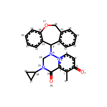 Cc1c2n(ccc1=O)N(C1c3ccccc3COc3ccccc31)CN(C1CC1)C2=O